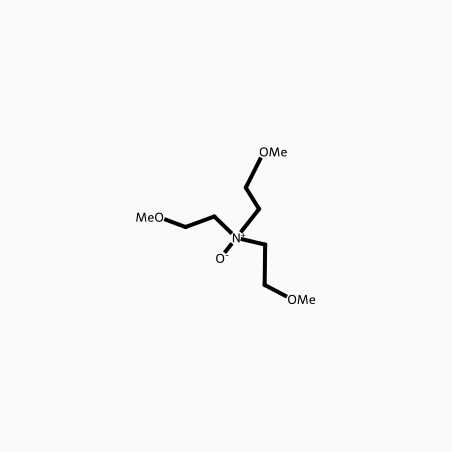 COCC[N+]([O-])(CCOC)CCOC